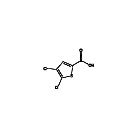 O=S(O)c1cc(Cl)c(Cl)s1